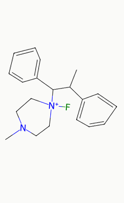 CC(c1ccccc1)C(c1ccccc1)[N+]1(F)CCN(C)CC1